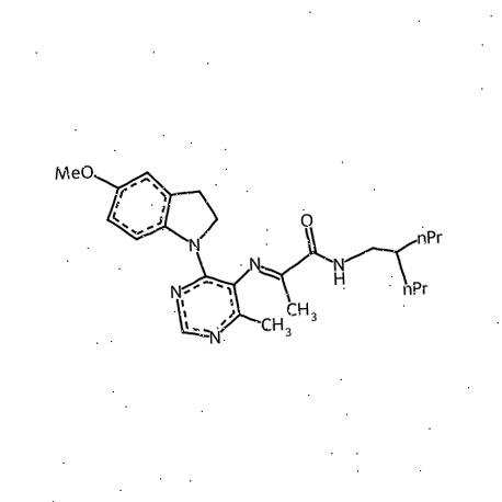 CCCC(CCC)CNC(=O)/C(C)=N/c1c(C)ncnc1N1CCc2cc(OC)ccc21